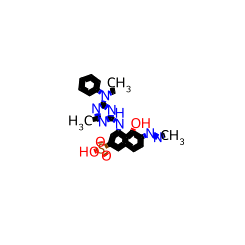 CCN(c1ccccc1)c1nc(C)nc(Nc2cc(S(=O)(=O)O)cc3ccc(N=NC)c(O)c23)n1